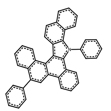 c1ccc(-c2cc3c4ccccc4c4c(c5ccc6ccccc6c5n4-c4ccccc4)c3c3ccccc23)cc1